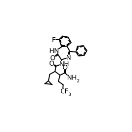 NC(=O)C(CCC(F)(F)F)C(CC1CC1)C(=O)N[C@H]1N=C(c2ccccc2)c2cccc(F)c2NC1=O